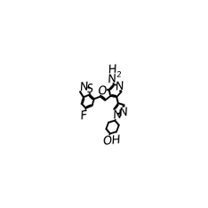 Nc1ncc(-c2cnn([C@H]3CC[C@H](O)CC3)c2)c2cc(-c3cc(F)cc4cnsc34)oc12